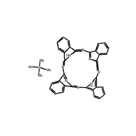 CC(C)(C)[Si](C(C)(C)C)(C(C)(C)C)C(C)(C)C.c1ccc2c(c1)-c1nc-2nc2[nH]c(nc3nc(nc4[nH]c(n1)c1ccccc41)-c1ccccc1-3)c1ccccc21